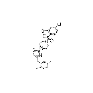 Cc1ccc(C)c(Cc2csc(N3CCN(S(=O)(=O)c4ccc(Cl)cc4Cl)CC3)n2)c1